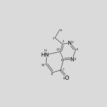 CCc1ncnc2c(=O)cc[nH]c12